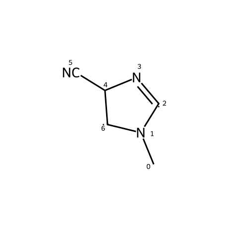 CN1[C]=NC(C#N)[CH]1